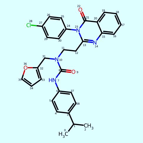 CC(C)c1ccc(NC(=O)N(CCc2nc3ccccc3c(=O)n2-c2ccc(Cl)cc2)Cc2ccco2)cc1